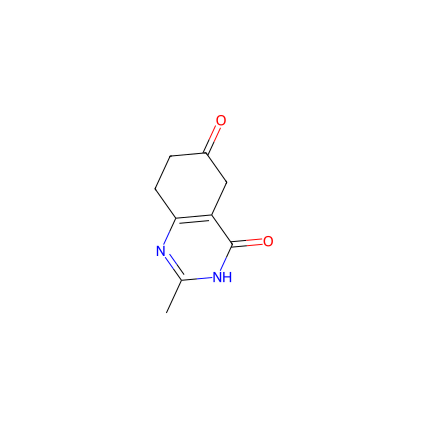 Cc1nc2c(c(=O)[nH]1)CC(=O)CC2